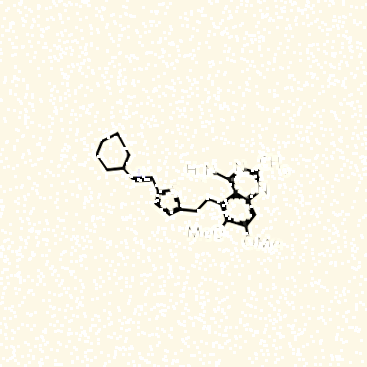 COc1cc2nc(C)nc(N)c2c(CCc2ccc(/C=C/C3CCCCC3)s2)c1OC